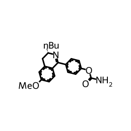 CCCC[C@H]1Cc2cc(OC)ccc2C(c2ccc(OC(N)=O)cc2)=N1